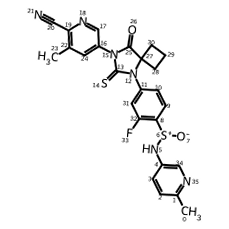 Cc1ccc(N[S+]([O-])c2ccc(N3C(=S)N(c4cnc(C#N)c(C)c4)C(=O)C34CCC4)cc2F)cn1